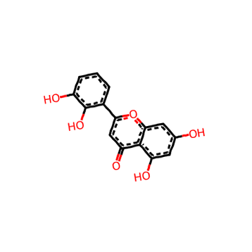 O=c1cc(-c2cccc(O)c2O)oc2cc(O)cc(O)c12